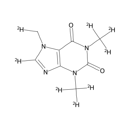 [2H]Cn1c([2H])nc2c1c(=O)n(C([2H])([2H])[2H])c(=O)n2C([2H])([2H])[2H]